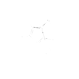 Cl.Cl.N.O=[N+]([O-])n1nnnc1I